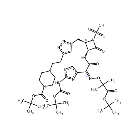 CC(C)(C)OC(=O)Nc1nc(/C(=N/OC(C)(C)C(=O)OC(C)(C)C)C(=O)N[C@@H]2C(=O)N(S(=O)(=O)O)[C@@H]2Cn2cc(CCN3CCN(C(=O)OC(C)(C)C)CC3)nn2)cs1